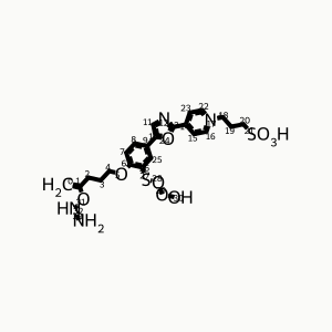 C=C(CCCOc1ccc(-c2cnc(-c3cc[n+](CCCS(=O)(=O)O)cc3)o2)cc1SOOO)ONN